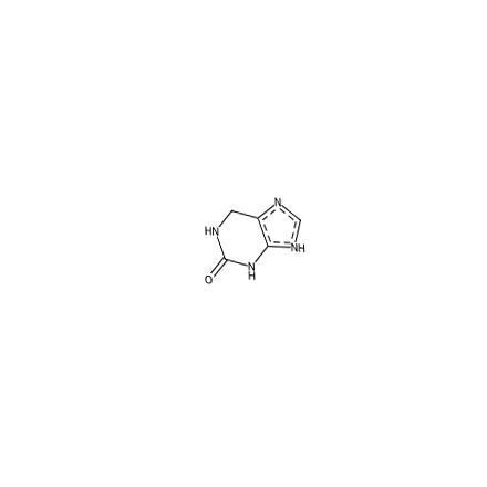 O=C1NCc2nc[nH]c2N1